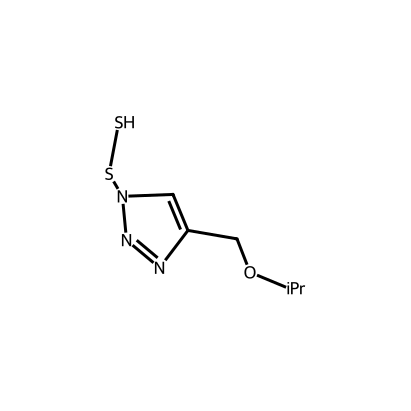 CC(C)OCc1cn(SS)nn1